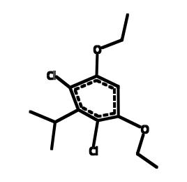 CCOc1cc(OCC)c(Cl)c(C(C)C)c1Cl